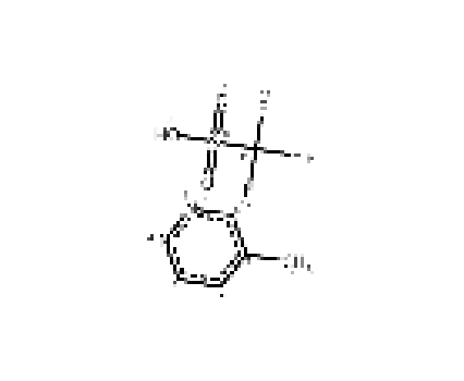 Cc1ccnnc1.O=S(=O)(O)C(F)(F)F